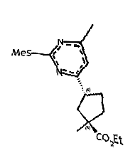 CCOC(=O)[C@]1(C)CC[C@@H](c2cc(C)nc(SC)n2)C1